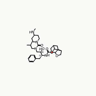 CNC1CCN(C(=O)N(CC(C)C)C[C@@H](O)[C@H](Cc2ccccc2)NC(=O)OC2C3COC4OCC2C4C3)CC1